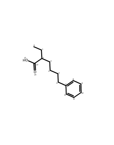 CCC(CCCCc1ccccc1)C(=O)O